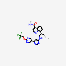 CCC(CNc1cc(-c2cnc(OCC(F)(F)F)nc2)ncn1)c1cccc2c(C(=O)NC)ccnc12